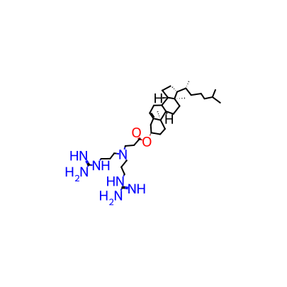 CC(C)CCC[C@@H](C)[C@H]1CC[C@H]2C3CC=C4C[C@@H](OC(=O)CCN(CCCNC(=N)N)CCCNC(=N)N)CC[C@]4(C)[C@H]3CC[C@]12C